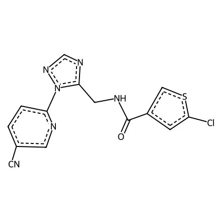 N#Cc1ccc(-n2ncnc2CNC(=O)c2csc(Cl)c2)nc1